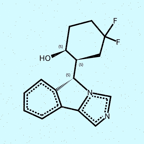 O[C@H]1CCC(F)(F)C[C@H]1[C@H]1c2ccccc2-c2cncn21